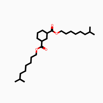 CC(C)CCCCCCOC(=O)C1CCCC(C(=O)OCCCCCCC(C)C)C1